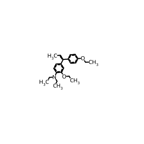 CC=C(c1ccc(OCC)cc1)c1ccc(N(CC)CC)c(OCC)c1